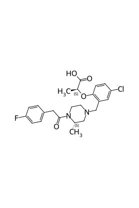 C[C@H](Oc1ccc(Cl)cc1CN1CCN(C(=O)Cc2ccc(F)cc2)[C@@H](C)C1)C(=O)O